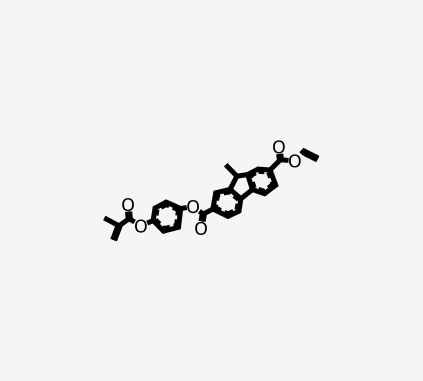 C=COC(=O)c1ccc2c(c1)C(C)c1cc(C(=O)Oc3ccc(OC(=O)C(=C)C)cc3)ccc1-2